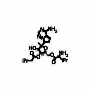 CC(C)CC(=O)O[C@H]1[C@@H](O)[C@](C)(c2ccc3c(N)ncnn23)O[C@@H]1COC(=O)[C@@H](N)C(C)C